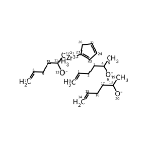 C=CCCC(C)[O-].C=CCCC(C)[O-].C=CCCC(C)[O-].[Zr+3][C]1=CC=CC1